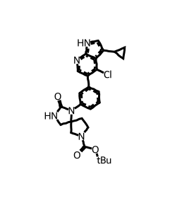 CC(C)(C)OC(=O)N1CCC2(CNC(=O)N2c2cccc(-c3cnc4[nH]cc(C5CC5)c4c3Cl)c2)C1